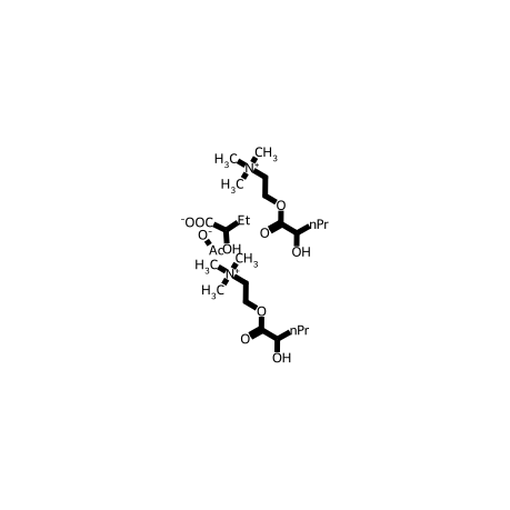 CC(=O)[O-].CCC(O)C(=O)[O-].CCCC(O)C(=O)OCC[N+](C)(C)C.CCCC(O)C(=O)OCC[N+](C)(C)C